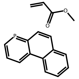 C=CC(=O)OC.c1ccc2c(c1)ccc1pcccc12